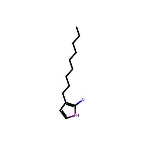 CCCCCCCCCc1cc[pH]c1[N]